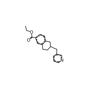 CCOC(=O)c1ccc2c(c1)CCC(Cc1cccnc1)C2